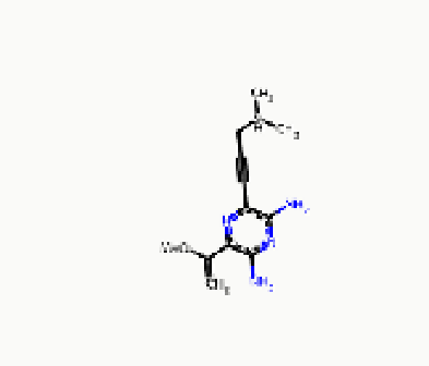 C=C(OC)c1nc(C#CC[SiH](C)C)c(N)nc1N